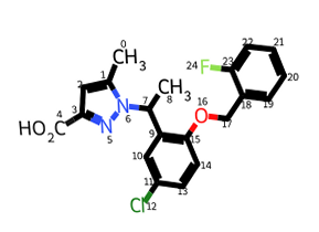 Cc1cc(C(=O)O)nn1C(C)c1cc(Cl)ccc1OCc1ccccc1F